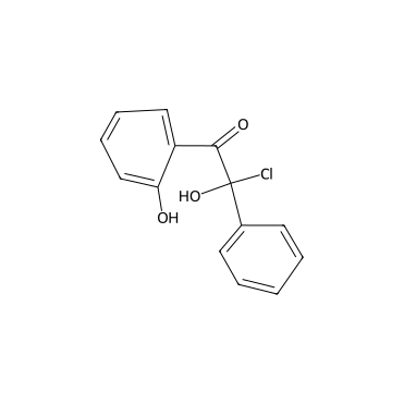 O=C(c1ccccc1O)C(O)(Cl)c1ccccc1